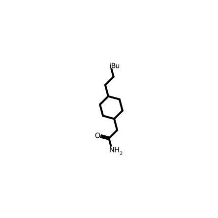 CCC(C)CCC1CCC(CC(N)=O)CC1